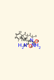 CC(CCCc1ccccc1)N(C(N)=O)C(C#N)C(N)=O